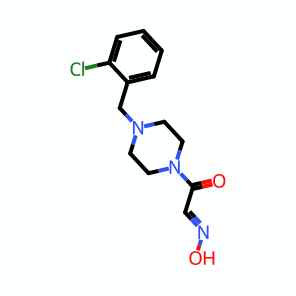 O=C(C=NO)N1CCN(Cc2ccccc2Cl)CC1